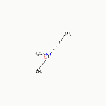 CCCCCCCCCCCCCCCCC(CCCCCCCCCCC)NC(=O)CCC